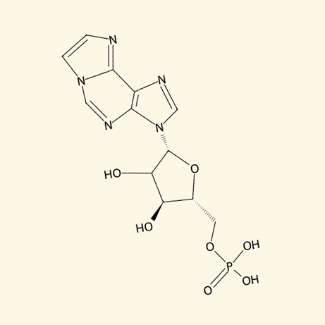 O=P(O)(O)OC[C@H]1O[C@@H](n2cnc3c2ncn2ccnc32)C(O)[C@@H]1O